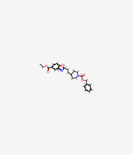 CCOC(=O)c1ccc2oc(CCC3CCN(C(=O)OCc4ccccc4)CC3)nc2c1